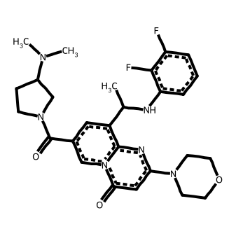 CC(Nc1cccc(F)c1F)c1cc(C(=O)N2CCC(N(C)C)C2)cn2c(=O)cc(N3CCOCC3)nc12